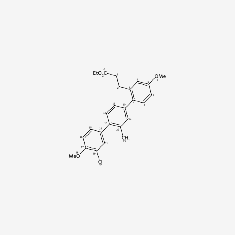 CCOC(=O)CCc1cc(OC)ccc1-c1ccc(-c2ccc(OC)c(Cl)c2)c(C)c1